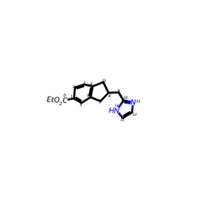 CCOC(=O)c1ccc2c(c1)CC(Cc1ncc[nH]1)C2